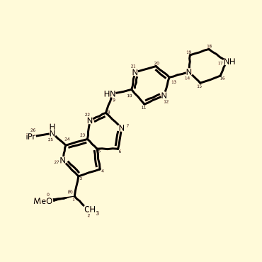 CO[C@H](C)c1cc2cnc(Nc3cnc(N4CCNCC4)cn3)nc2c(NC(C)C)n1